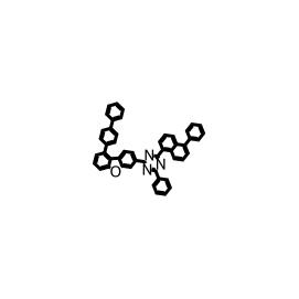 c1ccc(-c2ccc(-c3cccc4oc5cc(-c6nc(-c7ccccc7)nc(-c7cccc8c(-c9ccccc9)cccc78)n6)ccc5c34)cc2)cc1